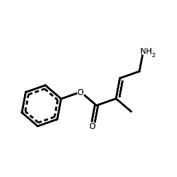 CC(=CCN)C(=O)Oc1ccccc1